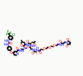 CC(=O)C[C@@H](NC(=O)[C@@H](C)NC(=O)[C@@H](C)NC(=O)CCOCCOCCOCCNC(=O)CCN1C(=O)C=CC1=O)C(=O)NC(CC(C)C)C(=O)N(C)CCNC(=O)c1cc(Oc2ccc(NC(=O)Nc3ccc(Cl)c(C(F)(F)F)c3)cc2)ccn1